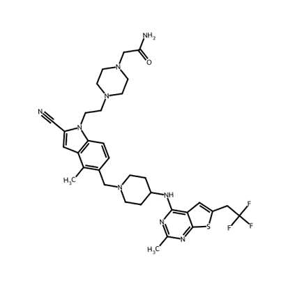 Cc1nc(NC2CCN(Cc3ccc4c(cc(C#N)n4CCN4CCN(CC(N)=O)CC4)c3C)CC2)c2cc(CC(F)(F)F)sc2n1